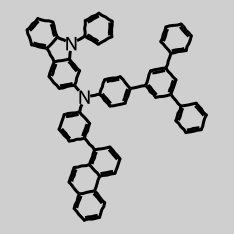 c1ccc(-c2cc(-c3ccccc3)cc(-c3ccc(N(c4cccc(-c5cccc6c5ccc5ccccc56)c4)c4ccc5c6ccccc6n(-c6ccccc6)c5c4)cc3)c2)cc1